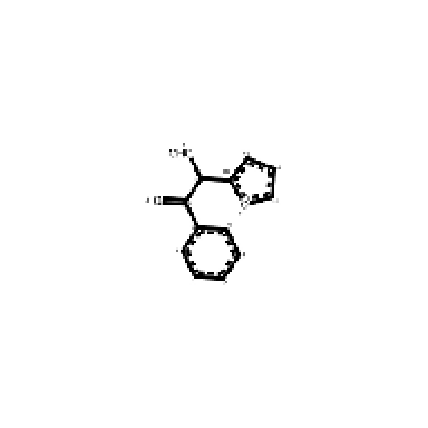 O=CC(C(=O)c1ccccc1)c1ccco1